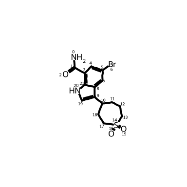 NC(=O)c1cc(Br)cc2c(C3CCCS(=O)(=O)CC3)c[nH]c12